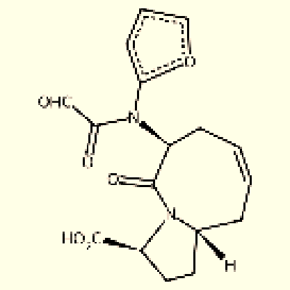 O=CC(=O)N(c1ccco1)[C@H]1CC=CC[C@@H]2CC[C@@H](C(=O)O)N2C1=O